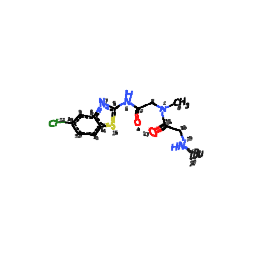 CN(CC(=O)Nc1nc2cc(Cl)ccc2s1)C(=O)CNC(C)(C)C